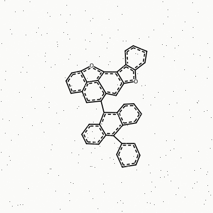 c1ccc(-c2c3ccccc3c(-c3cc4cccc5oc6c7c(cc3c6c45)oc3ccccc37)c3ccccc23)cc1